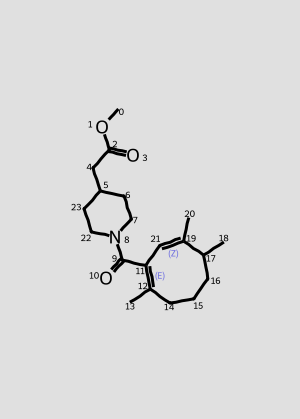 COC(=O)CC1CCN(C(=O)C2=C(\C)CCCC(C)/C(C)=C\2)CC1